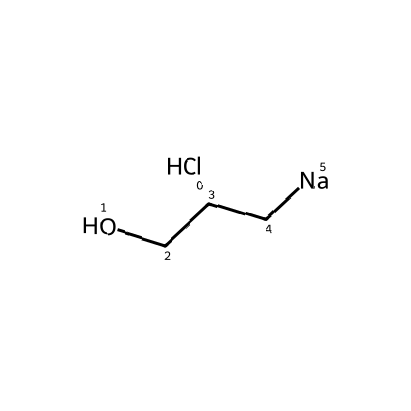 Cl.OCC[CH2][Na]